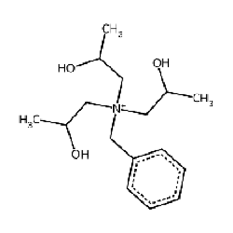 CC(O)C[N+](Cc1ccccc1)(CC(C)O)CC(C)O